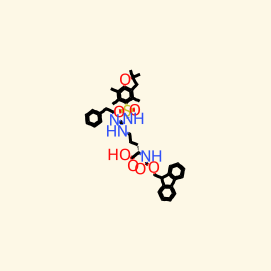 Cc1c(C)c(S(=O)(=O)N/C(=N\CCc2ccccc2)NCCC[C@H](NC(=O)OCC2c3ccccc3-c3ccccc32)C(=O)O)c(C)c2c1OC(C)(C)C2